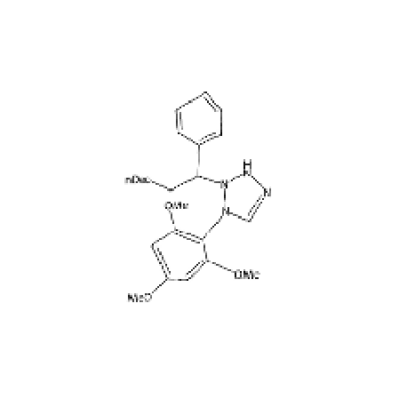 CCCCCCCCCCCC(c1ccccc1)N1NN=CN1c1c(OC)cc(OC)cc1OC